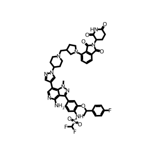 CC(Oc1cc(-c2nn(C)c3c(-c4cnn(C5CCN(CC6CCN(c7cccc8c7C(=O)N(C7CCC(=O)NC7=O)C8=O)C6)CC5)c4)cnc(N)c23)ccc1NS(=O)(=O)C(F)F)c1ccc(F)cc1